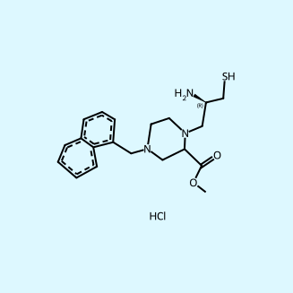 COC(=O)C1CN(Cc2cccc3ccccc23)CCN1C[C@@H](N)CS.Cl